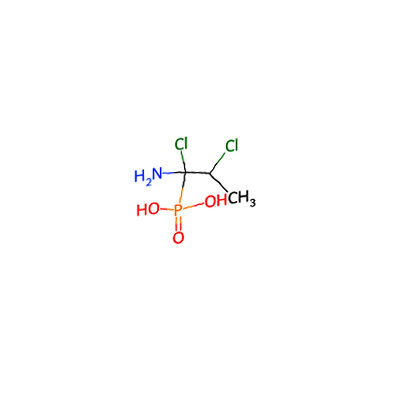 CC(Cl)C(N)(Cl)P(=O)(O)O